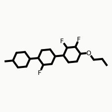 CCCOC1CCC(C2CCC(C3CCC(C)CC3)C(F)C2)C(F)C1F